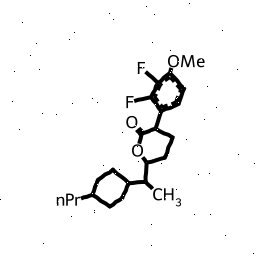 CCCC1CCC(C(C)C2CCC(c3ccc(OC)c(F)c3F)C(=O)O2)CC1